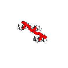 Cc1cc(C)c(-c2cc3c4c(c2)n2c5cc6cc(-c7ccc8cc9nc%10n(c9cc8c7)c7cc(-c8c(C)cc(C(C)C)cc8C)cc8c7n%10c7nc9cc%10ccc(-c%11ccc%12cc%13nc%14n(c%13cc%12c%11)c%11cc(-c%12c(C)cc(C(C)(C)C)cc%12C)cc%12c%11n%14c%11nc%13cc%14ccccc%14cc%13n%12%11)cc%10cc9n87)ccc6cc5nc2n4c2nc4cc5ccccc5cc4n32)c(C)c1